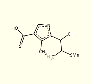 CSC(C)C(C)n1ncc(C(O)=S)c1C